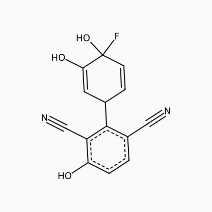 N#Cc1ccc(O)c(C#N)c1C1C=CC(O)(F)C(O)=C1